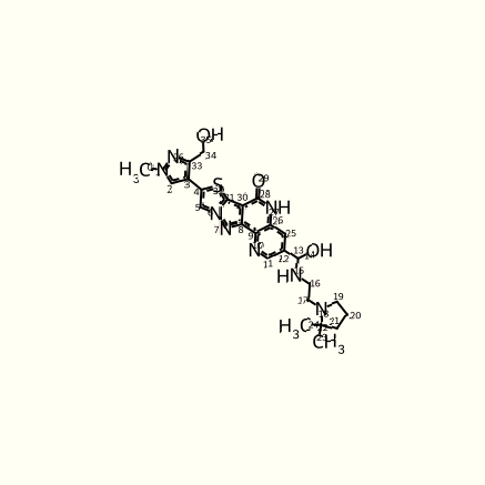 Cn1cc(-c2cn3nc4c5ncc(C(O)NCCN6CCCC6(C)C)cc5[nH]c(=O)c4c3s2)c(CO)n1